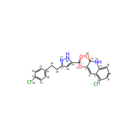 O=C(Oc1cc2c(Cl)cccc2[nH]c1=O)c1cc(CCc2ccc(Cl)cc2)n[nH]1